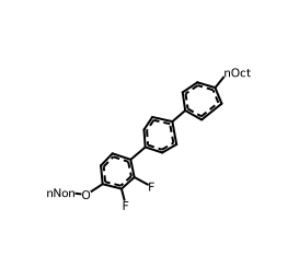 CCCCCCCCCOc1ccc(-c2ccc(-c3ccc(CCCCCCCC)cc3)cc2)c(F)c1F